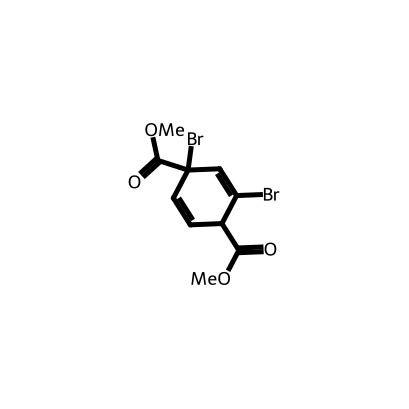 COC(=O)C1C=CC(Br)(C(=O)OC)C=C1Br